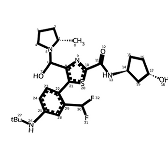 C[C@H]1CCCN1C(O)c1nc(C(=O)N[C@H]2CC[C@H](O)C2)sc1-c1ccc(NC(C)(C)C)cc1C(F)F